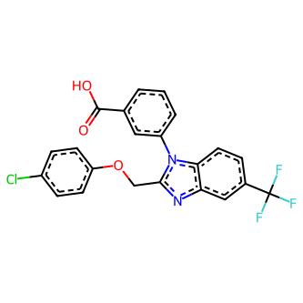 O=C(O)c1cccc(-n2c(COc3ccc(Cl)cc3)nc3cc(C(F)(F)F)ccc32)c1